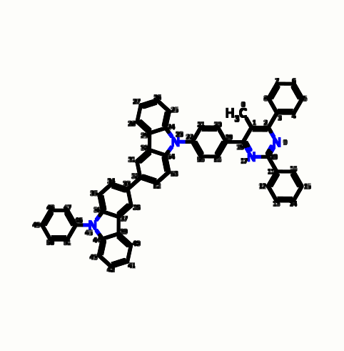 Cc1c(-c2ccccc2)nc(-c2ccccc2)nc1-c1ccc(-n2c3ccccc3c3cc(-c4ccc5c(c4)c4ccccc4n5-c4ccccc4)ccc32)cc1